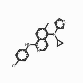 Cc1ccc2c(Nc3ccc(Cl)cc3)nccc2c1N(c1ccsc1)C1CC1